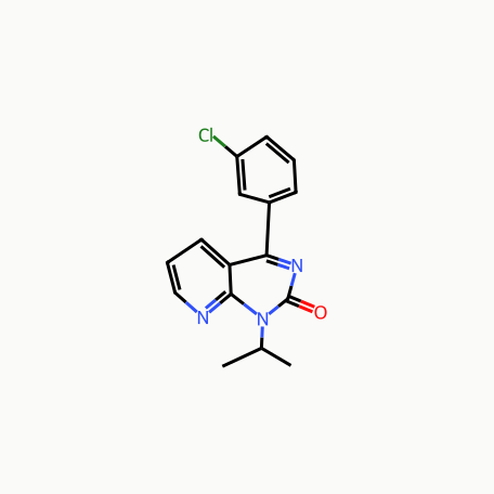 CC(C)n1c(=O)nc(-c2cccc(Cl)c2)c2cccnc21